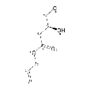 C=CCOC(=O)C[C@H](O)CCl